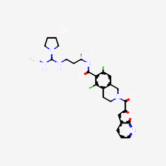 N#CNC(NCC[C@H](NC(=O)c1c(Cl)cc2c(c1Cl)CCN(C(=O)c1cc3cccnc3o1)C2)C(=O)O)N1CC[C@H](O)C1